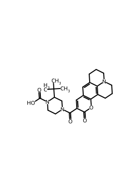 CC(C)(C)C1CN(C(=O)c2cc3cc4c5c(c3oc2=O)CCCN5CCC4)CCN1C(=O)O